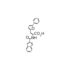 O=C(O)C(=Cc1ccc(-c2ccccc2)o1)NC(=O)c1cc2ccccc2s1